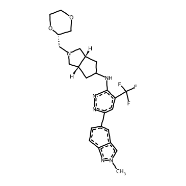 Cn1cc2cc(-c3cc(C(F)(F)F)c(NC4C[C@@H]5CN(C[C@H]6COCCO6)C[C@@H]5C4)nn3)ccc2n1